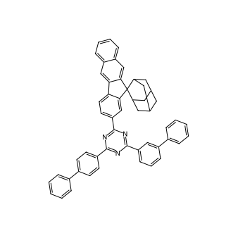 c1ccc(-c2ccc(-c3nc(-c4cccc(-c5ccccc5)c4)nc(-c4ccc5c(c4)C4(c6cc7ccccc7cc6-5)C5CC6CC(C5)CC4C6)n3)cc2)cc1